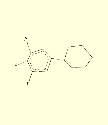 Fc1cc(C2=CCCCC2)cc(F)c1F